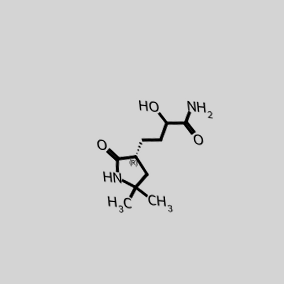 CC1(C)C[C@@H](CCC(O)C(N)=O)C(=O)N1